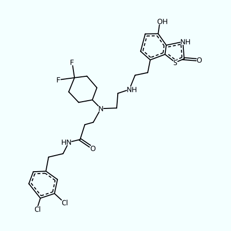 O=C(CCN(CCNCCc1ccc(O)c2[nH]c(=O)sc12)C1CCC(F)(F)CC1)NCCc1ccc(Cl)c(Cl)c1